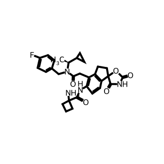 C[C@@H](C1CC1)N(Cc1ccc(F)cc1)C(=O)Cc1c(NC(=O)C2(N)CCC2)ccc2c1CCC21OC(=O)NC1=O